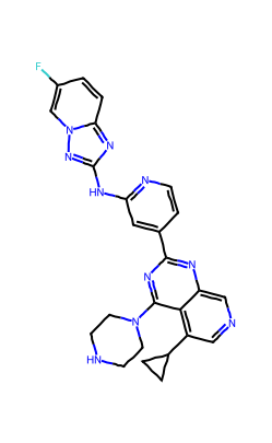 Fc1ccc2nc(Nc3cc(-c4nc(N5CCNCC5)c5c(C6CC6)cncc5n4)ccn3)nn2c1